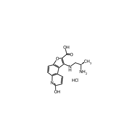 C[C@@H](N)CNc1c(C(=O)O)oc2ccc3nc(O)ccc3c12.Cl